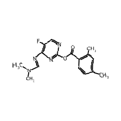 Cc1ccc(C(=O)Oc2ncc(F)c(/N=C/N(C)C)n2)c(C)c1